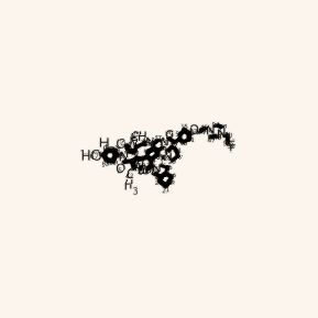 Cc1c(N(C(=O)c2cc(-c3cc4c(cc3C(=O)N3Cc5ccccc5C[C@H]3CN3CCCCC3)CN(C(=O)Cc3ccc(OCCN5CCN(CCF)CC5)cc3)CC4)n(C)c2C)c2ccc(O)cc2)cc(C#N)n1C